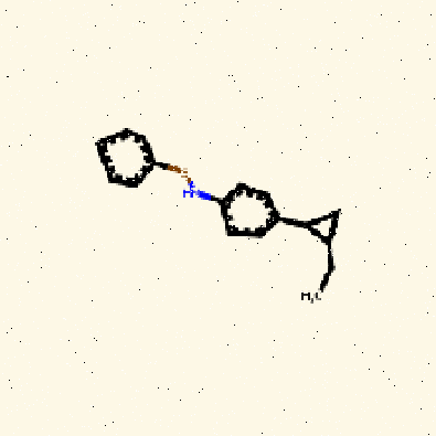 CCC1CC1c1ccc(NSc2ccccc2)cc1